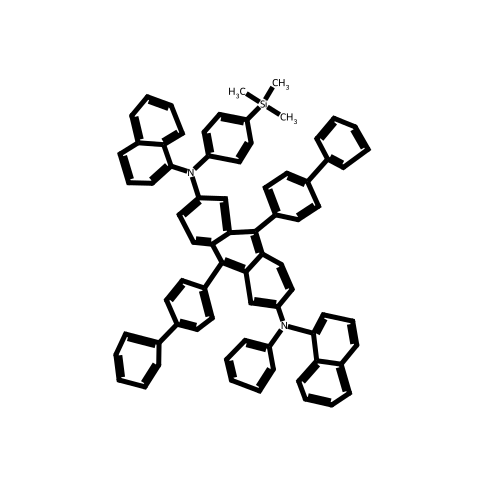 C[Si](C)(C)c1ccc(N(c2ccc3c(-c4ccc(-c5ccccc5)cc4)c4cc(N(c5ccccc5)c5cccc6ccccc56)ccc4c(-c4ccc(-c5ccccc5)cc4)c3c2)c2cccc3ccccc23)cc1